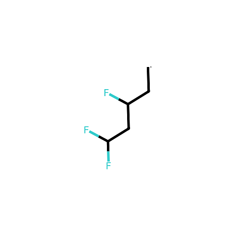 [CH2]CC(F)CC(F)F